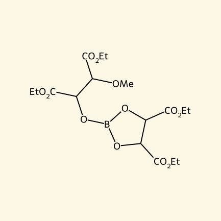 CCOC(=O)C(OC)C(OB1OC(C(=O)OCC)C(C(=O)OCC)O1)C(=O)OCC